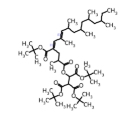 CCC(C)CC(C)CC(C)CC(C)/C=C(C)/C=C(\CC(C)C(=O)OC(C(=O)OC(C)(C)C)C(C(=O)OC(C)(C)C)C(=O)OC(C)(C)C)C(=O)OC(C)(C)C